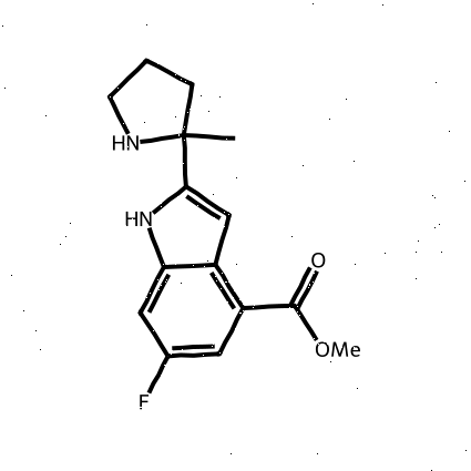 COC(=O)c1cc(F)cc2[nH]c(C3(C)CCCN3)cc12